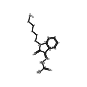 CCCCCCN1C(=O)C(=NNC(=O)O)c2ccccc21